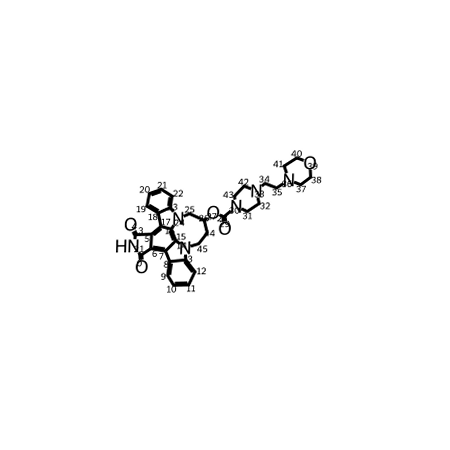 O=C1NC(=O)c2c1c1c3ccccc3n3c1c1c2c2ccccc2n1CC(OC(=O)N1CCN(CCN2CCOCC2)CC1)CC3